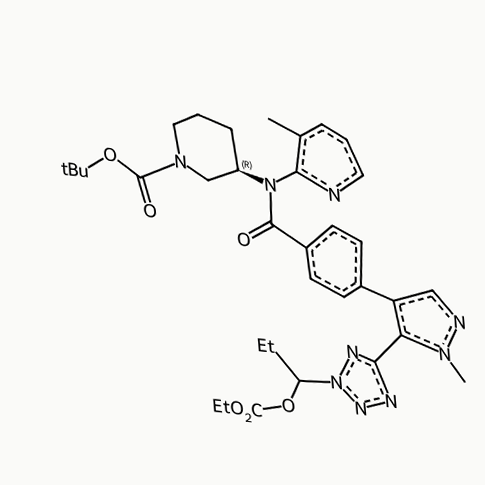 CCOC(=O)OC(CC)n1nnc(-c2c(-c3ccc(C(=O)N(c4ncccc4C)[C@@H]4CCCN(C(=O)OC(C)(C)C)C4)cc3)cnn2C)n1